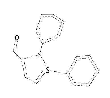 O=CC1=CC=S(c2ccccc2)N1c1ccccc1